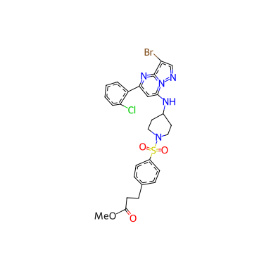 COC(=O)CCc1ccc(S(=O)(=O)N2CCC(Nc3cc(-c4ccccc4Cl)nc4c(Br)cnn34)CC2)cc1